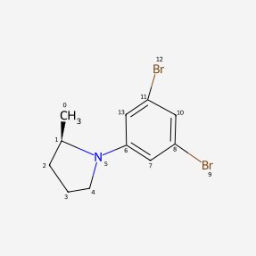 C[C@@H]1CCCN1c1cc(Br)cc(Br)c1